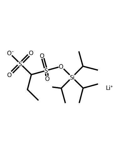 CCC(S(=O)(=O)[O-])S(=O)(=O)O[Si](C(C)C)(C(C)C)C(C)C.[Li+]